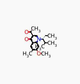 CC[C@H](C(C)C)n1cc(C(C)=O)c(=O)c2cc(C)c(OC)cc21